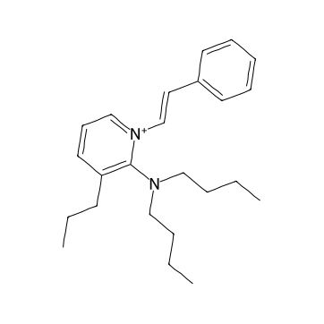 CCCCN(CCCC)c1c(CCC)ccc[n+]1C=Cc1ccccc1